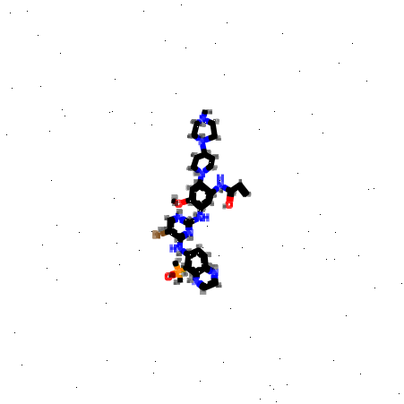 C=CC(=O)Nc1cc(Nc2ncc(Br)c(Nc3ccc4nccnc4c3P(C)(C)=O)n2)c(OC)cc1N1CCC(N2CCN(C)CC2)CC1